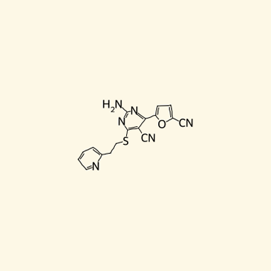 N#Cc1ccc(-c2nc(N)nc(SCCc3ccccn3)c2C#N)o1